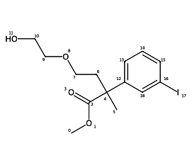 COC(=O)C(C)(CCOCCO)c1cccc(I)c1